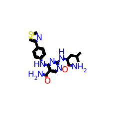 CC(C)CC(Nc1ncc(C(N)=O)c(Nc2ccc(-c3cscn3)cc2)n1)C(N)=O